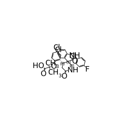 CC(C)(Oc1ccc(Cl)cc1[C@H]1CC(=O)N[C@@H](c2cc(F)ccc2Cl)[C@]12C(=O)Nc1cc(Cl)ccc12)C(=O)O